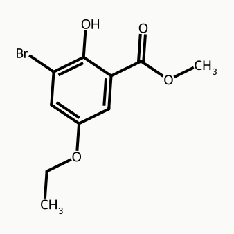 CCOc1cc(Br)c(O)c(C(=O)OC)c1